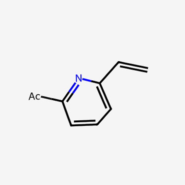 C=Cc1cccc(C(C)=O)n1